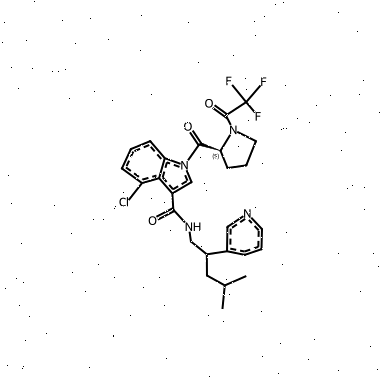 CC(C)CC(CNC(=O)c1cn(C(=O)[C@@H]2CCCN2C(=O)C(F)(F)F)c2cccc(Cl)c12)c1cccnc1